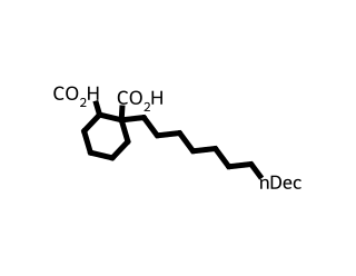 CCCCCCCCCCCCCCCCCC1(C(=O)O)CCCCC1C(=O)O